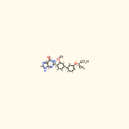 CCOc1cc(-c2cccc(OC(C)C(=O)O)c2)ccc1-c1nc2[nH]cnc2c(=O)[nH]1